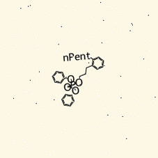 CCCCCc1ccccc1CCCOP(=O)(Oc1ccccc1)Oc1ccccc1